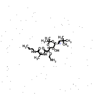 C=CCNC(=O)[C@H](C)NC(=O)[C@H](OCN)[C@@H]1OC(C)(C)O[C@H](/C=C/C(C)(C)C)[C@@H]1O